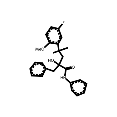 COc1ccc(F)cc1C(C)(C)CC(O)(Cc1ccccc1)C(=O)Nc1ccccc1